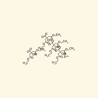 CCOC(=O)CC(O)(CC(=O)OCC)C(=O)[O-].CCOC(=O)CC(O)(CC(=O)OCC)C(=O)[O-].CCOC(=O)CC(O)(CC(=O)OCC)C(=O)[O-].CCOC(=O)CC(O)(CC(=O)OCC)C(=O)[O-].[Zr+4]